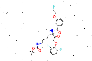 CC(C)(C)OC(=O)NCCCC[C@H](NC(=O)c1cccc(OCCF)c1)C(=O)COc1c(F)cccc1F